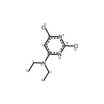 CCN(CC)c1cc(Cl)nc(Cl)n1